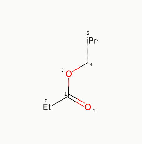 CCC(=O)OC[C](C)C